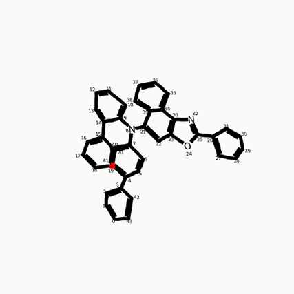 c1ccc(-c2ccc(N(c3ccccc3-c3ccccc3)c3cc4oc(-c5ccccc5)nc4c4ccccc34)cc2)cc1